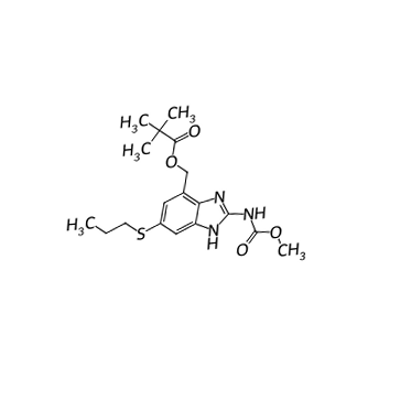 CCCSc1cc(COC(=O)C(C)(C)C)c2nc(NC(=O)OC)[nH]c2c1